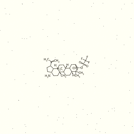 C=C(C)[C@@H]1CC[C@]2(N)CC[C@]3(C)[C@H](CC[C@@H]4[C@@]5(C)CC=C(OS(=O)(=O)C(F)(F)F)C(C)(C)[C@@H]5CC[C@]43C)C12